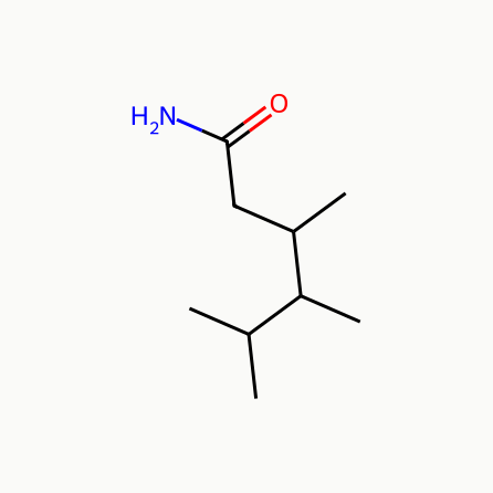 CC(C)C(C)C(C)CC(N)=O